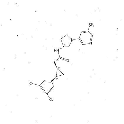 O=C(C[C@H]1C[C@H]1c1cc(Cl)cc(Cl)c1)N[C@@H]1CCN(c2cncc(C(F)(F)F)c2)C1